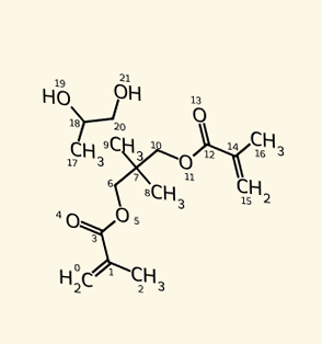 C=C(C)C(=O)OCC(C)(C)COC(=O)C(=C)C.CC(O)CO